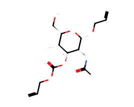 C=CCOC(=O)O[C@H]1[C@H](O)[C@@H](CO)O[C@H](OCC=C)[C@H]1NC(C)=O